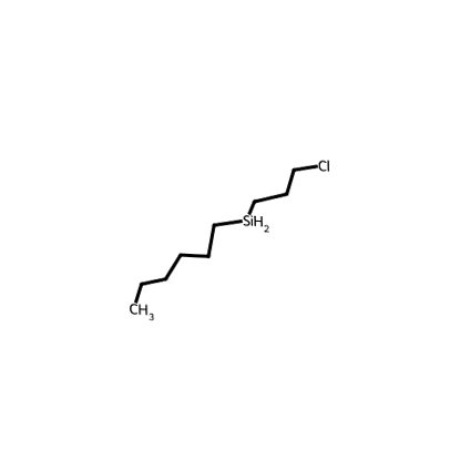 CCCCCC[SiH2]CCCCl